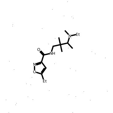 CCc1cc(C(=O)NCC(C)(C)C(C)N(C)CC)no1